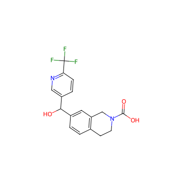 O=C(O)N1CCc2ccc(C(O)c3ccc(C(F)(F)F)nc3)cc2C1